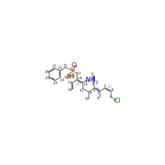 C#C/C(=C(C)\C=C/CCl)C(C)C/C(N)=C(\C=C)C[SH](=O)(S)Cc1ccccc1